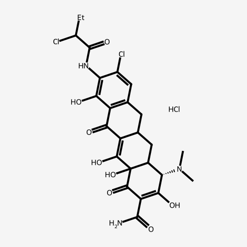 CCC(Cl)C(=O)Nc1c(Cl)cc2c(c1O)C(=O)C1=C(O)C3(O)C(=O)C(C(N)=O)=C(O)[C@@H](N(C)C)C3CC1C2.Cl